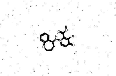 COC(=O)c1c(O)c(=O)ccn1NC1CCCOc2ccccc21